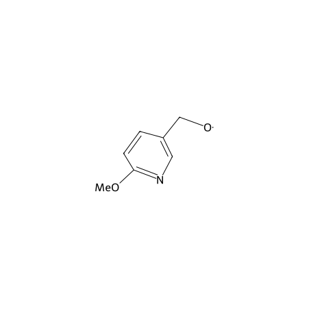 COc1ccc(C[O])cn1